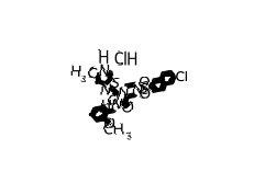 COc1ccccc1CNC(=O)C1CN(S(=O)(=O)c2ccc3cc(Cl)ccc3c2)CCN1C(=O)c1nc2c(s1)CNC(C)C2.Cl